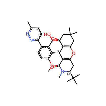 COc1ccc(-c2ccc(C)nn2)c(C(=O)O)c1[C@H]1C2=C(CC(C)(C)CC2=O)OC2=C1C(=O)N(C)[C@H](C(C)(C)C)C2